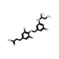 CCC(C)Nc1cc(Cl)cc(COc2c(Cl)cc(CCC(=O)O)cc2Cl)c1